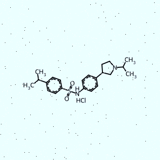 CC(C)c1ccc(S(=O)(=O)Nc2ccc(C3CCN(C(C)C)C3)cc2)cc1.Cl